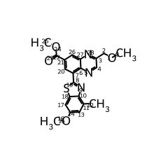 COCc1cnc2c(-c3nc4c(C)cc(OC)cc4s3)cc(C(=O)OC)cc2n1